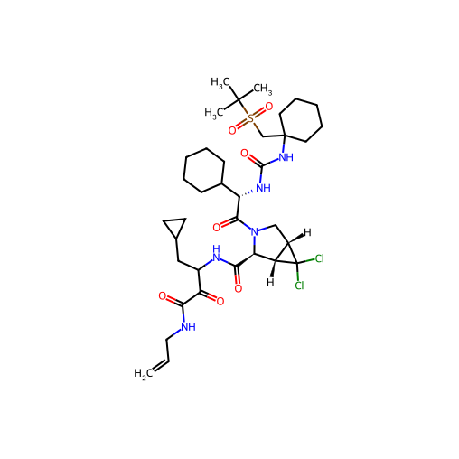 C=CCNC(=O)C(=O)C(CC1CC1)NC(=O)[C@@H]1[C@@H]2[C@H](CN1C(=O)[C@@H](NC(=O)NC1(CS(=O)(=O)C(C)(C)C)CCCCC1)C1CCCCC1)C2(Cl)Cl